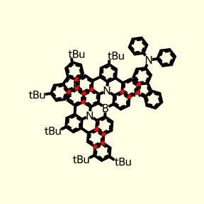 CC(C)(C)c1cc(-c2ccc3c(c2)N(c2c(-c4ccccc4)cc(C(C)(C)C)cc2-c2ccccc2)c2cc(-n4c5ccc(C(C)(C)C)cc5c5cc(C(C)(C)C)ccc54)cc4c2B3c2ccc(-n3c5ccccc5c5cc(N(c6ccccc6)c6ccccc6)ccc53)cc2N4c2c(-c3ccccc3)cc(C(C)(C)C)cc2-c2ccccc2)cc(C(C)(C)C)c1